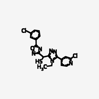 CCn1c(-c2ccnc(Cl)c2)nnc1C(S)c1noc(-c2cccc(Cl)c2)n1